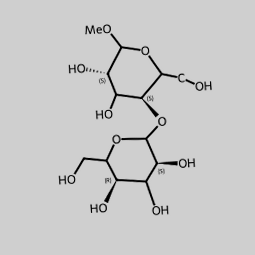 COC1OC(CO)[C@@H](OC2OC(CO)[C@H](O)C(O)[C@@H]2O)C(O)[C@@H]1O